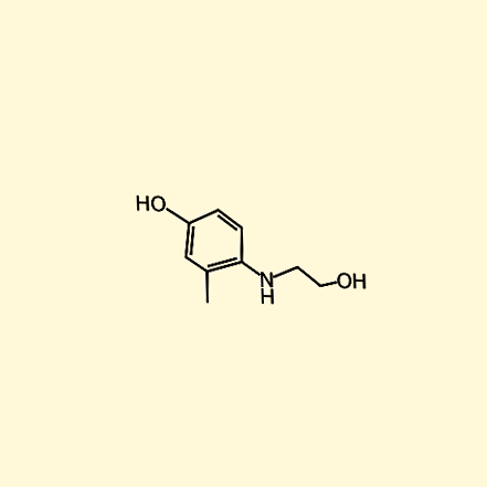 Cc1cc(O)ccc1NCCO